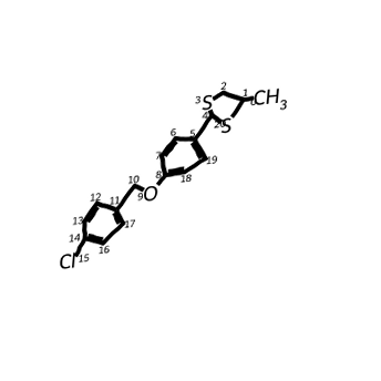 CC1CSC(c2ccc(OCc3ccc(Cl)cc3)cc2)S1